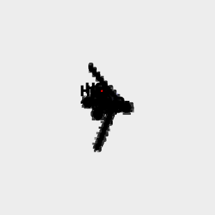 CCCCCCCCCCCCC/C=C/[C@@H](OC(=O)c1ccccc1)[C@H](CO[C@@]1(C)O[C@H](COC(=O)O)[C@H](OC(=O)O)[C@H](OC(=O)c2ccccc2)[C@H]1OC(=O)c1ccccc1)NC(=O)CCCCCCCCCCCCCCC